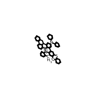 Cc1ccccc1Nc1cc2c(cc1-c1cc(N(c3ccccc3)c3ccccc3)cc3c1Bc1cccc4c1C3Cc1ccccc1-4)Sc1ccccc1O2